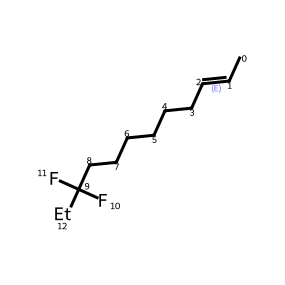 C/C=C/CCCCCCC(F)(F)CC